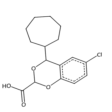 O=C(O)C1Oc2ccc(Cl)cc2C(C2CCCCCC2)O1